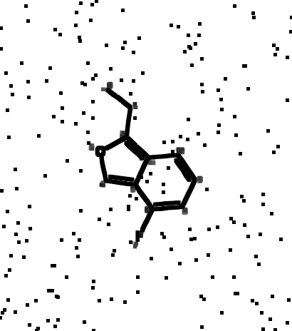 [CH2]Cc1occ2c(F)cccc12